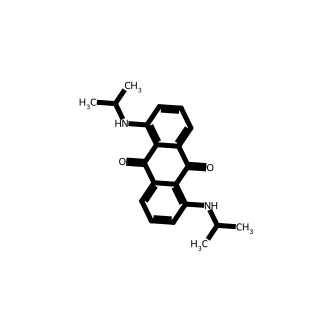 CC(C)Nc1cccc2c1C(=O)c1cccc(NC(C)C)c1C2=O